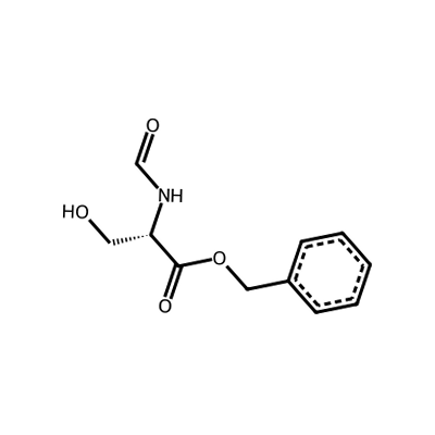 O=CN[C@@H](CO)C(=O)OCc1ccccc1